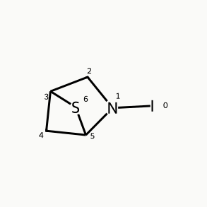 IN1CC2CC1S2